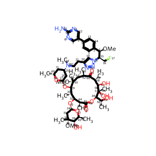 CO[C@H](c1ccc(-c2cnc(N)nc2)cc1)[C@@H](CF)n1cc(CCN(C)[C@@H]2C[C@H](O[C@@H]3[C@@H](C)[C@H](O[C@H]4C[C@@](C)(OC)[C@@H](O)[C@H](C)O4)[C@@H](C)C(=O)O[C@H]([C@@H](C)O)[C@@](C)(O)[C@H](O)[C@@H](C)C(=O)[C@H](C)C[C@@]3(C)OC)O[C@H](C)C2)nn1